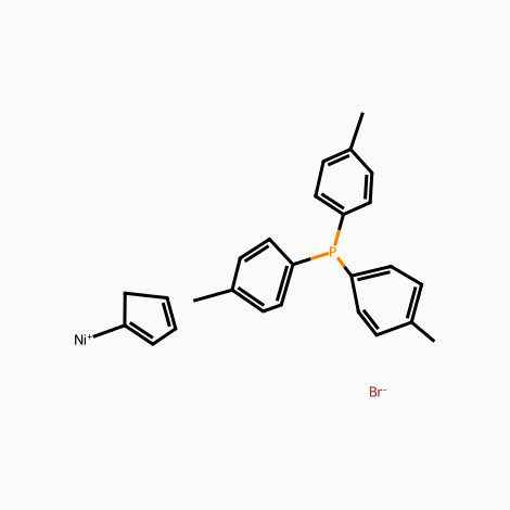 Cc1ccc(P(c2ccc(C)cc2)c2ccc(C)cc2)cc1.[Br-].[Ni+][C]1=CC=CC1